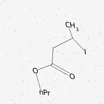 CCCOC(=O)CC(C)I